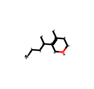 CC(=O)CCC(C)C1=C(C)CCOC1